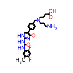 Cc1cc(NC(=O)Nc2nc(=O)c(-c3ccc(CN(CCCN)CCCC(=O)O)cc3)c[nH]2)c(F)cc1F